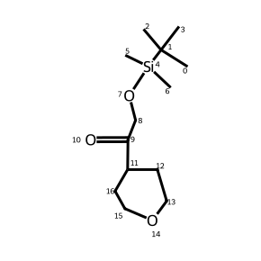 CC(C)(C)[Si](C)(C)OCC(=O)C1CCOCC1